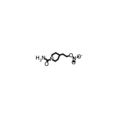 NC(=O)N1CCC(CCO[N+](=O)[O-])CC1